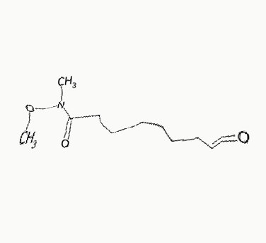 CON(C)C(=O)CCCCCC=O